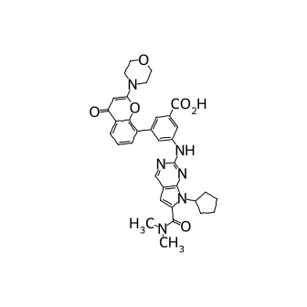 CN(C)C(=O)c1cc2cnc(Nc3cc(C(=O)O)cc(-c4cccc5c(=O)cc(N6CCOCC6)oc45)c3)nc2n1C1CCCC1